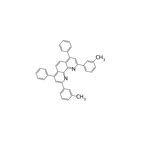 Cc1cccc(-c2cc(-c3ccccc3)c3ccc4c(-c5ccccc5)cc(-c5cccc(C)c5)nc4c3n2)c1